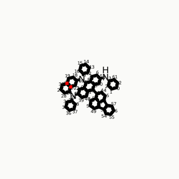 c1ccc(Nc2ccc3c(N(c4ccccc4)c4ccccc4)c4cc(N(c5ccccc5)c5ccccc5)ccc4c(-c4ccc5c6c(cccc46)-c4ccccc4-5)c3c2)cc1